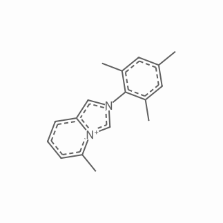 Cc1cc(C)c(-n2cc3cccc(C)[n+]3c2)c(C)c1